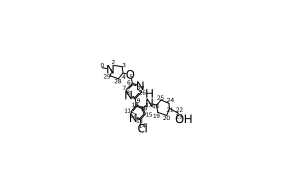 CN1CCC(Oc2cnc(-c3cnc(Cl)cc3NC3CCC(CO)CC3)cn2)CC1